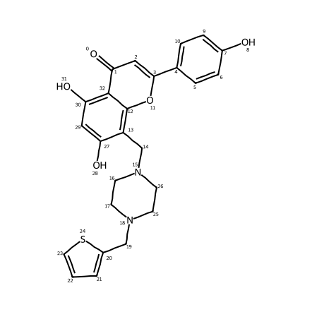 O=c1cc(-c2ccc(O)cc2)oc2c(CN3CCN(Cc4cccs4)CC3)c(O)cc(O)c12